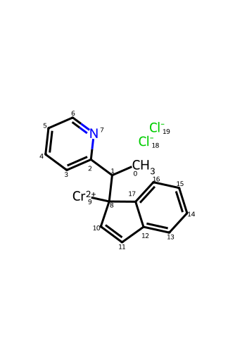 CC(c1ccccn1)[C]1([Cr+2])C=Cc2ccccc21.[Cl-].[Cl-]